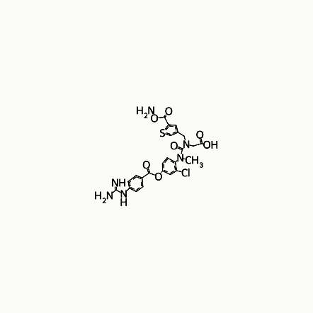 CN(C(=O)N(CC(=O)O)Cc1csc(C(=O)ON)c1)c1ccc(OC(=O)c2ccc(NC(=N)N)cc2)cc1Cl